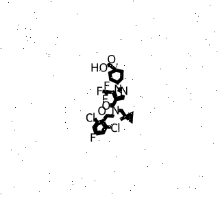 CC1(CN(CC(=O)c2c(Cl)cc(F)cc2Cl)C(=O)c2cnn([C@H]3CC[C@@](C)(C(=O)O)CC3)c2C(F)(F)F)CC1